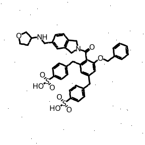 O=C(c1c(Cc2ccc(S(=O)(=O)O)cc2)cc(Cc2ccc(S(=O)(=O)O)cc2)cc1OCc1ccccc1)N1Cc2ccc(CNC3CCOC3)cc2C1